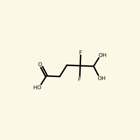 O=C(O)CCC(F)(F)C(O)O